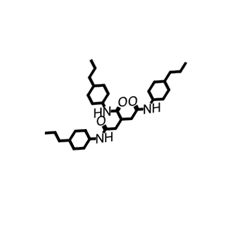 CCCC1CCC(NC(=O)CC(CC(=O)NC2CCC(CCC)CC2)C(=O)NC2CCC(CCC)CC2)CC1